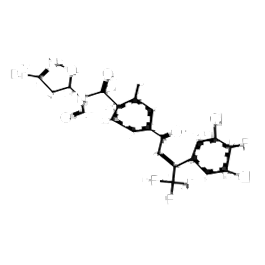 Cc1cc(C(=O)/C=C(\c2cc(Cl)c(F)c(Cl)c2)C(F)(F)F)ccc1C(=O)N(C=O)C1CC(Br)=NO1